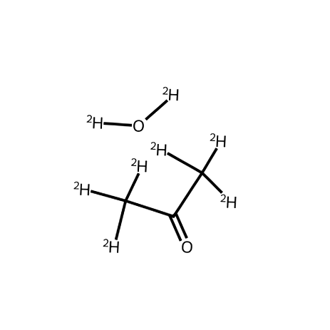 [2H]C([2H])([2H])C(=O)C([2H])([2H])[2H].[2H]O[2H]